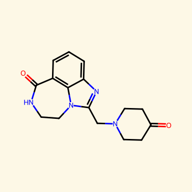 O=C1CCN(Cc2nc3cccc4c3n2CCNC4=O)CC1